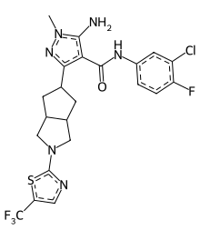 Cn1nc(C2CC3CN(c4ncc(C(F)(F)F)s4)CC3C2)c(C(=O)Nc2ccc(F)c(Cl)c2)c1N